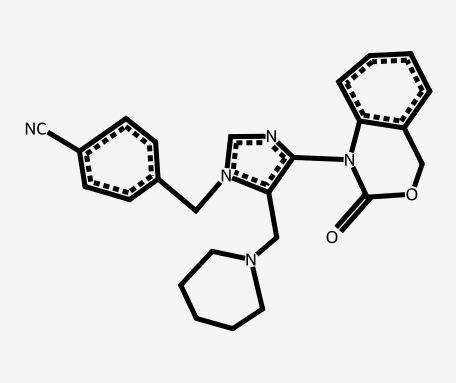 N#Cc1ccc(Cn2cnc(N3C(=O)OCc4ccccc43)c2CN2CCCCC2)cc1